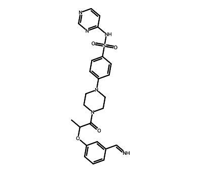 CC(Oc1cccc(C=N)c1)C(=O)N1CCN(c2ccc(S(=O)(=O)Nc3ccncn3)cc2)CC1